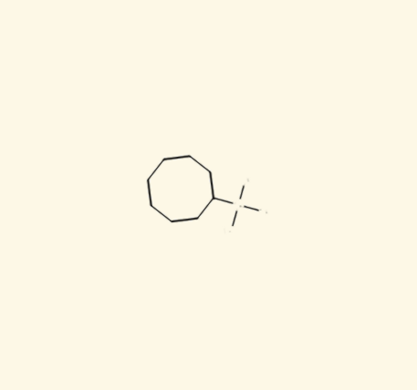 Br[Si](Br)(Br)C1CCCCCCC1